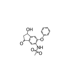 CS(=O)(=O)Nc1cc2c(cc1Oc1ccccc1)C(O)CC2=O